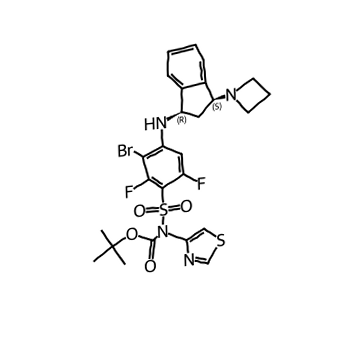 CC(C)(C)OC(=O)N(c1cscn1)S(=O)(=O)c1c(F)cc(N[C@@H]2C[C@H](N3CCC3)c3ccccc32)c(Br)c1F